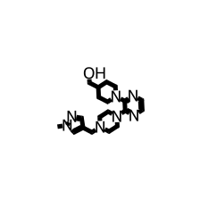 Cn1cc(CN2CCN(c3nccnc3N3CCC(CO)CC3)CC2)cn1